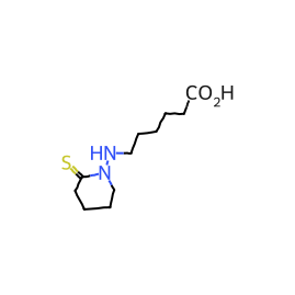 O=C(O)CCCCCNN1CCCCC1=S